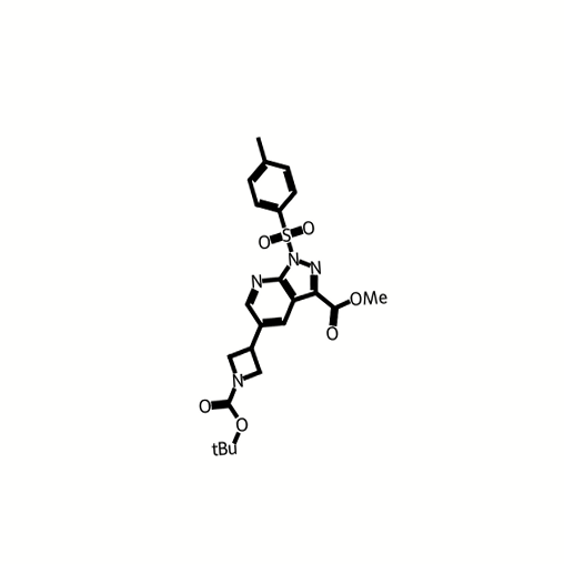 COC(=O)c1nn(S(=O)(=O)c2ccc(C)cc2)c2ncc(C3CN(C(=O)OC(C)(C)C)C3)cc12